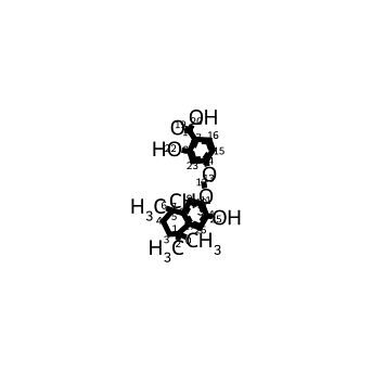 CC1(C)CCC(C)(C)c2cc(OCOc3ccc(C(=O)O)c(O)c3)c(O)cc21